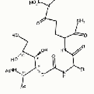 CCC(NC(=O)O[C@@H]([C@H](O)[C@H](O)CO)[C@@H](NC(C)=O)C(C)=O)C(=O)NC(CCC(=O)N(C)C(=O)O)C(N)=O